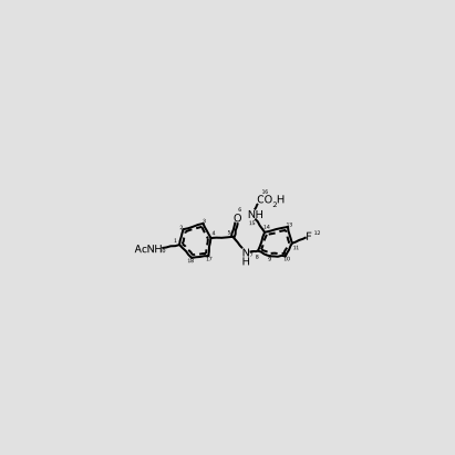 CC(=O)Nc1ccc(C(=O)Nc2ccc(F)cc2NC(=O)O)cc1